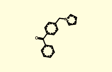 O=C(c1ccccc1)c1ccc(Cn2cccc2)cc1